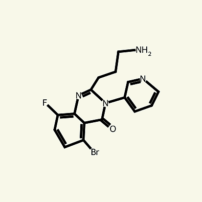 NCCCc1nc2c(F)ccc(Br)c2c(=O)n1-c1cccnc1